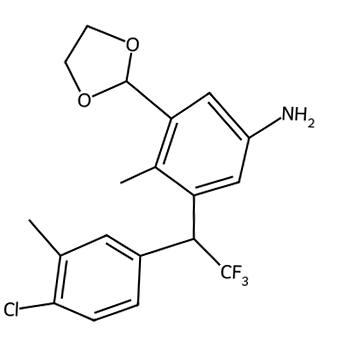 Cc1cc(C(c2cc(N)cc(C3OCCO3)c2C)C(F)(F)F)ccc1Cl